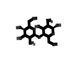 NC1C(O)[C@H](O)C(CO)O[C@H]1O[C@@H]1C(CO)O[C@@H](O)C(N)C1O